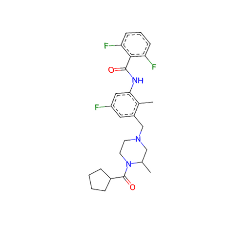 Cc1c(CN2CCN(C(=O)C3CCCC3)C(C)C2)cc(F)cc1NC(=O)c1c(F)cccc1F